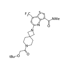 CNC(=O)c1csc2c(C(F)(F)F)cc(N3CC4(CCN(C(=O)COC(C)(C)C)CC4)C3)nc12